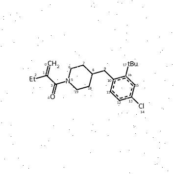 C=C(CC)C(=O)N1CCC(Cc2ccc(Cl)cc2C(C)(C)C)CC1